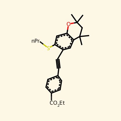 CCCSc1cc2c(cc1C#Cc1ccc(C(=O)OCC)cc1)C(C)(C)CC(C)(C)O2